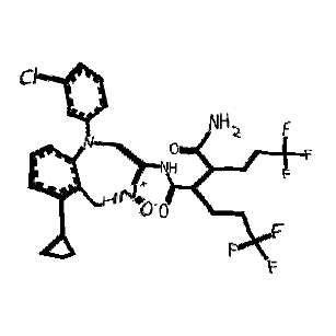 NC(=O)C(CCC(F)(F)F)C(CCC(F)(F)F)C(=O)NC1CN(c2cccc(Cl)c2)c2cccc(C3CC3)c2C[NH+]1[O-]